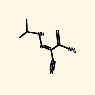 CC(C)NN=C(C#N)C(N)=O